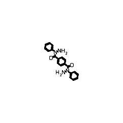 NN(C(=O)c1ccc(C(=O)N(N)c2ccccc2)cc1)c1ccccc1